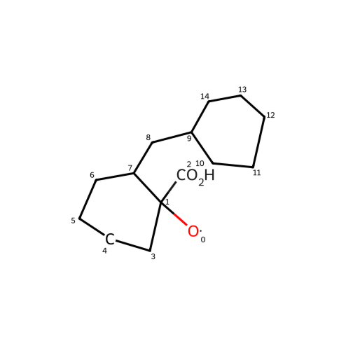 [O]C1(C(=O)O)CCCCC1CC1CCCCC1